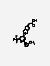 C[C@H]1CCN1c1nc(N2CC3CN(CC(=O)O)CC3C2)cc(C(F)(F)F)n1